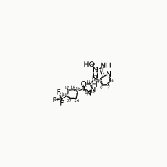 N=C(NO)c1ncccc1Nc1nnc(-c2ccc(C(F)(F)F)cc2)o1